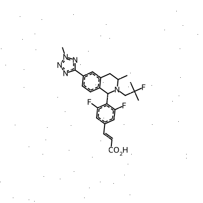 CC1Cc2cc(-c3nnn(C)n3)ccc2C(c2c(F)cc(/C=C/C(=O)O)cc2F)N1CC(C)(C)F